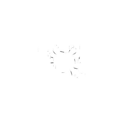 CN1CCOC2=CNC(O)C=C2c2cc3c(n[nH]c3cn2)/C=C/c2c(nn(C)c2C#N)C1=O